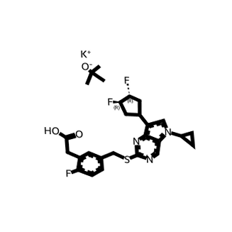 CC(C)(C)[O-].O=C(O)Cc1cc(CSc2ncc3c(n2)c(C2C[C@@H](F)[C@H](F)C2)cn3C2CC2)ccc1F.[K+]